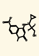 Cn1c(=O)cc(N[C@@H](C2CC2)C(F)(F)CO)c2cc([N+](=O)[O-])ccc21